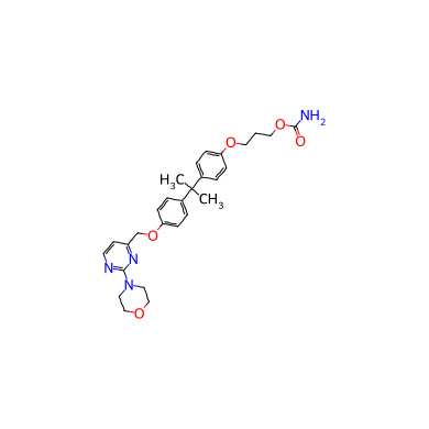 CC(C)(c1ccc(OCCCOC(N)=O)cc1)c1ccc(OCc2ccnc(N3CCOCC3)n2)cc1